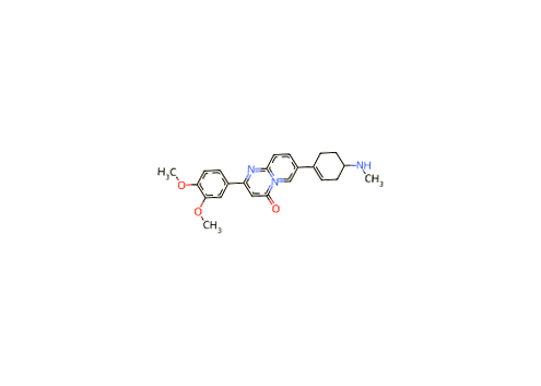 CNC1CC=C(c2ccc3nc(-c4ccc(OC)c(OC)c4)cc(=O)n3c2)CC1